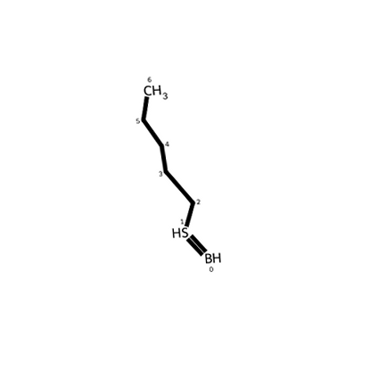 B=[SH]CCCCC